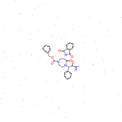 CNC(=O)C(c1ccccc1)N1CCN(C(=O)OCc2ccccc2)C[C@H](N2C(=O)c3ccccc3C2=O)C1=O